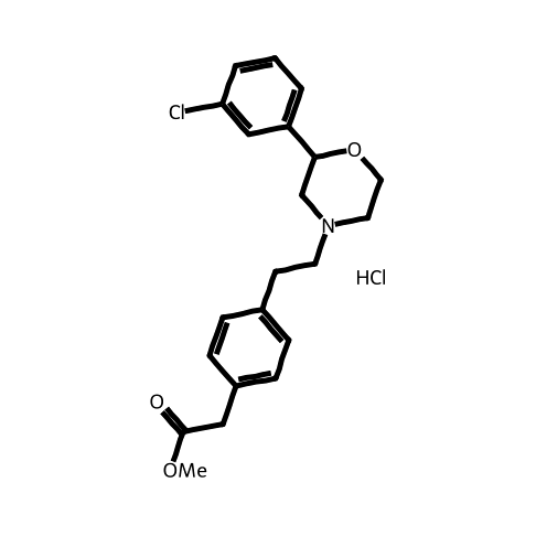 COC(=O)Cc1ccc(CCN2CCOC(c3cccc(Cl)c3)C2)cc1.Cl